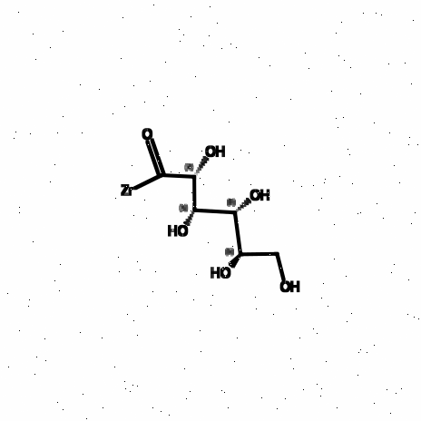 O=[C]([Zr])[C@H](O)[C@@H](O)[C@H](O)[C@H](O)CO